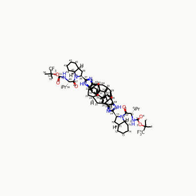 CC(C)[C@H](NC(=O)OC(C)(C)C(F)(F)F)C(=O)N1[C@H](c2nc3cc(C4=CC5=CC[C@@H]4CC[C@@H]4C=CC(=C(c6ccc7[nH]c([C@@H]8C[C@@H]9CCCC[C@@H]9N8C(=O)[C@@H](NC(=O)OC(C)(C)C(F)(F)F)C(C)C)nc7c6)C4C)CC5)ccc3[nH]2)C[C@@H]2CCCC[C@@H]21